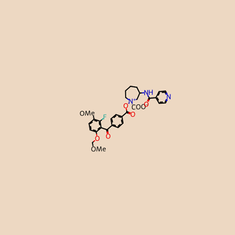 COCOc1ccc(OC)c(F)c1C(=O)c1ccc(C(=O)O[N+]2(C(=O)[O-])CCCCC(NC(=O)c3ccncc3)C2)cc1